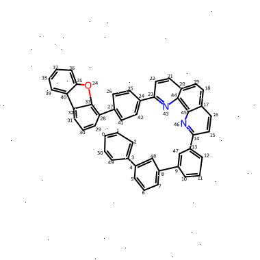 c1ccc(-c2cccc(-c3cccc(-c4ccc5ccc6ccc(-c7ccc(-c8cccc9c8oc8ccccc89)cc7)nc6c5n4)c3)c2)cc1